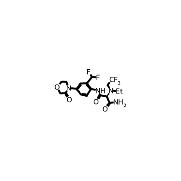 CCN(CC(F)(F)F)[C@@H](C(N)=O)C(=O)Nc1ccc(N2CCOCC2=O)cc1C(F)F